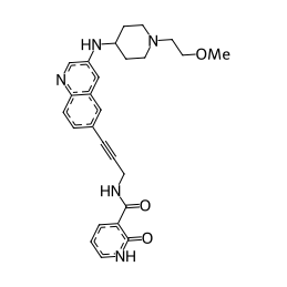 COCCN1CCC(Nc2cnc3ccc(C#CCNC(=O)c4ccc[nH]c4=O)cc3c2)CC1